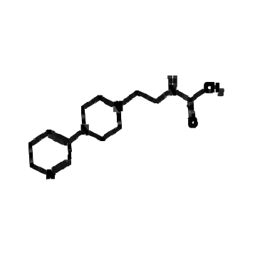 CC(=O)NCCN1CCN(C2=CCCN=C2)CC1